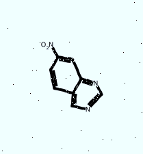 O=[N+]([O-])c1ccc2cncnc2c1